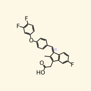 CC1=C(CC(=O)O)c2cc(F)ccc2/C1=C/c1ccc(Oc2ccc(F)c(F)c2)cc1